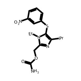 CCn1c(COC(N)=O)nc(C(C)C)c1Sc1cccc([N+](=O)[O-])c1